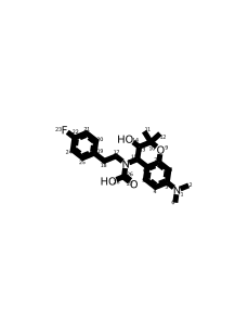 CN(C)c1ccc2c(c1)OC(C)(C)C(O)C2N(CCc1ccc(F)cc1)C(=O)O